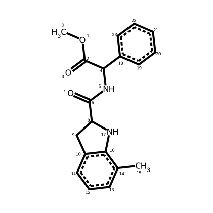 COC(=O)C(NC(=O)C1Cc2cccc(C)c2N1)c1ccccc1